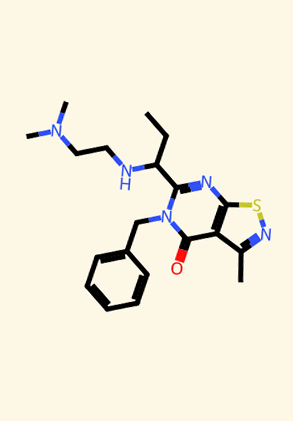 CCC(NCCN(C)C)c1nc2snc(C)c2c(=O)n1Cc1ccccc1